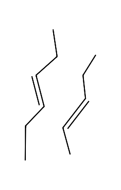 CC=CCC.CCC=CCC